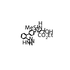 CCOC(=O)C1=C(C(C)(C)O)NC(C)(SC)N1c1ccc(-c2ccccc2-c2nnn[nH]2)cc1